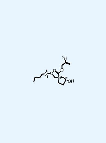 [3H]C(=C)COC(=O)[N+]1(CO[Si](C)(C)CCCC)CC[C@@H](O)C1